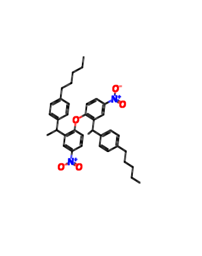 CCCCCc1ccc(C(C)c2cc([N+](=O)[O-])ccc2Oc2ccc([N+](=O)[O-])cc2C(C)c2ccc(CCCCC)cc2)cc1